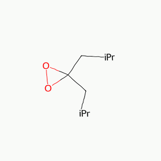 CC(C)CC1(CC(C)C)OO1